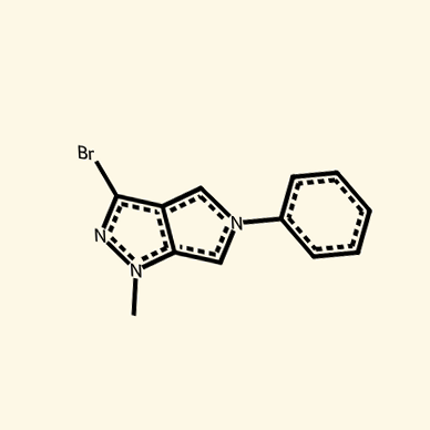 Cn1nc(Br)c2cn(-c3ccccc3)cc21